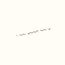 CC(=O)NCCCCNC(=O)CCCCC(=O)NCCCCNC=O